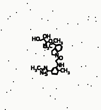 Cc1nsc(-c2ccc(C)c(NCC(=O)N3CCc4c3cccc4C(C)(C)OC(=O)C(O)CO)c2)n1